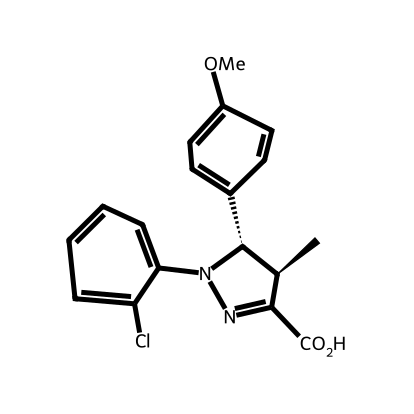 COc1ccc([C@@H]2[C@@H](C)C(C(=O)O)=NN2c2ccccc2Cl)cc1